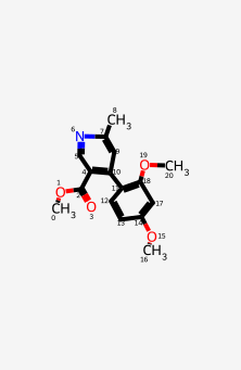 COC(=O)c1cnc(C)cc1-c1ccc(OC)cc1OC